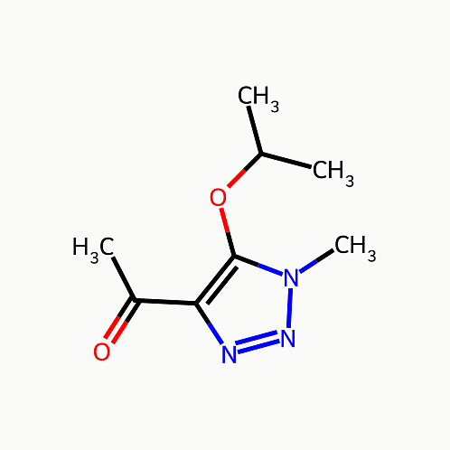 CC(=O)c1nnn(C)c1OC(C)C